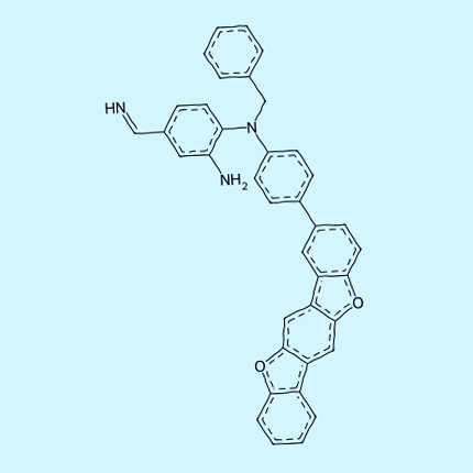 N=Cc1ccc(N(Cc2ccccc2)c2ccc(-c3ccc4oc5cc6c(cc5c4c3)oc3ccccc36)cc2)c(N)c1